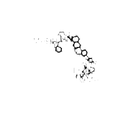 COC(=O)NC(C(=O)N1CCC[C@H]1c1nc2ccc3cc4c(cc3c2[nH]1)OCc1cc(-c2cnc([C@@H]3CC[C@H](C)N3C(=O)[C@@H](NC(=O)OC)C(C)C)[nH]2)ccc1-4)c1ccccc1